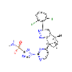 CN(C)S(=O)(=O)c1ncn(-c2nccc([C@@]34CC[C@@H](c5cc(-c6c(F)cccc6F)nnc53)C4(C)C)n2)n1